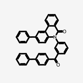 O=C(c1ccc(-c2ccccc2)cc1)c1cccc(-n2c(=O)c3ccccc3c3cc(-c4ccccc4)ccc32)c1